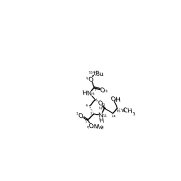 COC(=O)[C@H](CCNC(=O)OC(C)(C)C)NC(=O)C[C@@H](C)O